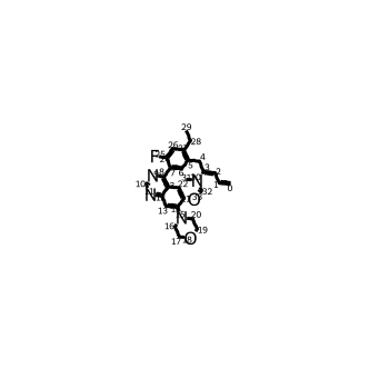 C=C/C=C(/Cc1cc(-c2ncnc3cc(N4CCOCC4)ccc23)c(F)cc1CC)N(C)C=O